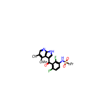 [C-]#[N+]c1cnc2[nH]cc(C(=O)c3c(F)ccc(NS(=O)(=O)CCC)c3F)c2c1OC